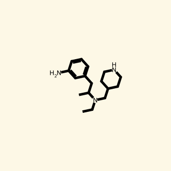 CCN(CC1CCNCC1)C(C)Cc1cccc(N)c1